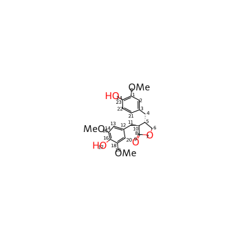 COc1cc(C[C@@H]2COC(=O)[C@H]2Cc2cc(OC)c(O)c(OC)c2)ccc1O